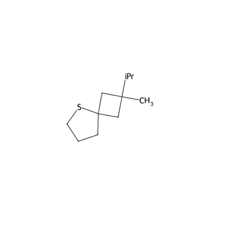 CC(C)C1(C)CC2(CCCS2)C1